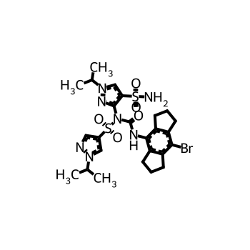 CC(C)n1cc(S(=O)(=O)N(C(=O)Nc2c3c(c(Br)c4c2CCC4)CCC3)c2nn(C(C)C)cc2S(N)(=O)=O)cn1